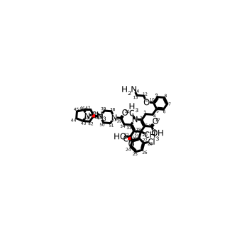 CN1C(CCc2ccccc2OCCN)=C(C(=O)O)C(C)(c2c(Cl)cccc2Cl)C(C(=O)O)=C1CC(=O)N1CCN(C2CC3CCC(C2)N3C)CC1